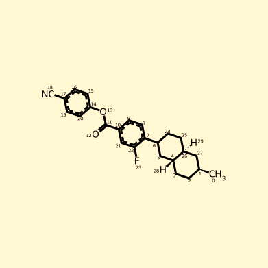 C[C@H]1CC[C@@H]2CC(c3ccc(C(=O)Oc4ccc(C#N)cc4)cc3F)CC[C@H]2C1